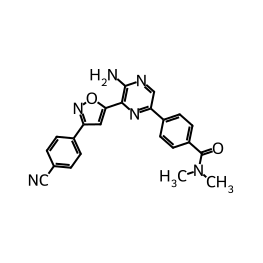 CN(C)C(=O)c1ccc(-c2cnc(N)c(-c3cc(-c4ccc(C#N)cc4)no3)n2)cc1